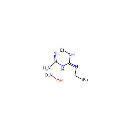 CCN/C(=N/CC(C)CC)NC(=N)N.O=[N+]([O-])O